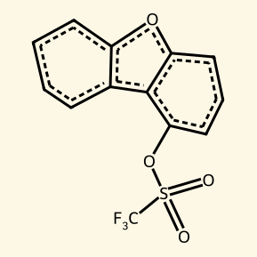 O=S(=O)(Oc1cccc2oc3ccccc3c12)C(F)(F)F